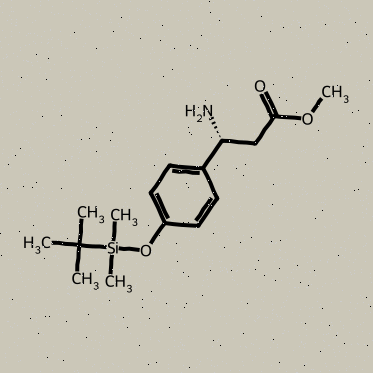 COC(=O)C[C@@H](N)c1ccc(O[Si](C)(C)C(C)(C)C)cc1